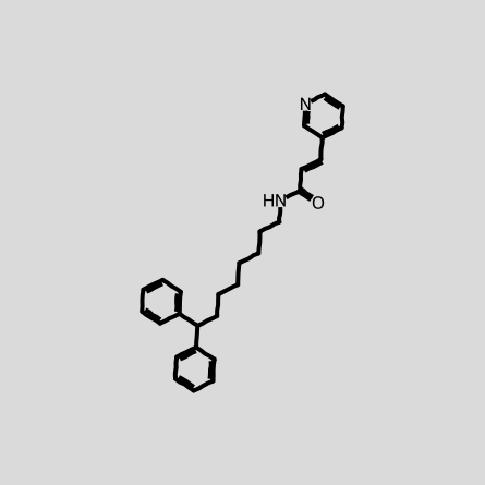 O=C(C=Cc1cccnc1)NCCCCCCCC(c1ccccc1)c1ccccc1